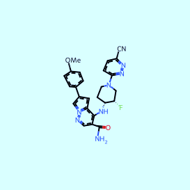 COc1ccc(-c2cc3c(N[C@@H]4CCN(c5ccc(C#N)nn5)C[C@@H]4F)c(C(N)=O)cnn3c2)cc1